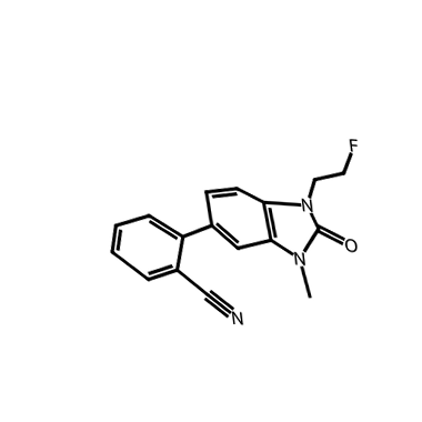 Cn1c(=O)n(CCF)c2ccc(-c3ccccc3C#N)cc21